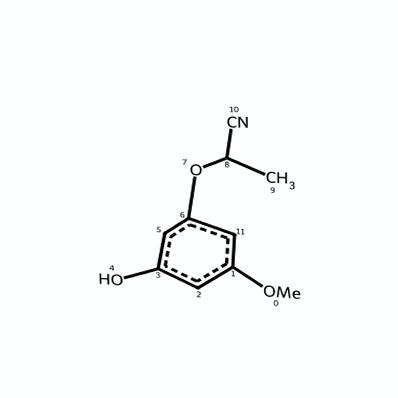 COc1cc(O)cc(OC(C)C#N)c1